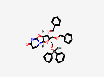 CC(C)(C)[Si](OC[C@]1(COCc2ccccc2)O[C@@H]2[C@@H](Oc3nc(=O)ccn32)[C@@H]1OCc1ccccc1)(c1ccccc1)c1ccccc1